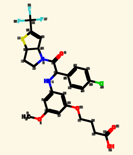 COc1cc(NC(C(=O)N2CCC3SC(C(F)(F)F)=CC32)c2ccc(Cl)cc2)cc(OCCCC(=O)O)c1